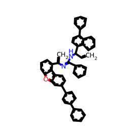 C=CC(N/C(=N\C(=C)c1cccc2oc3cc(-c4ccc(-c5ccccc5)cc4)ccc3c12)c1ccccc1)c1ccc(-c2ccccc2)c2ccccc12